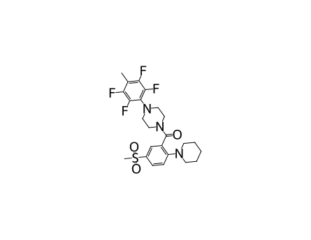 Cc1c(F)c(F)c(N2CCN(C(=O)c3cc(S(C)(=O)=O)ccc3N3CCCCC3)CC2)c(F)c1F